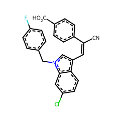 N#CC(=Cc1cn(Cc2ccc(F)cc2)c2cc(Cl)ccc12)c1ccc(C(=O)O)cc1